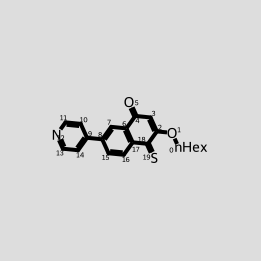 CCCCCCOC1=CC(=O)c2cc(-c3ccncc3)ccc2C1=S